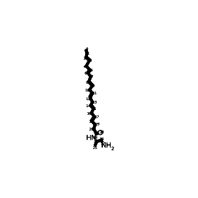 CCC=CCC=CCC=CCC=CCC=CCC=CCCC(=O)NC(C)CN